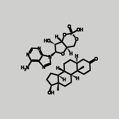 C[C@]12CCC(=O)C[C@@H]1CC[C@@H]1[C@@H]2CC[C@]2(C)[C@@H](O)CC[C@@H]12.Nc1ncnc2c1ncn2[C@@H]1O[C@@H]2COP(=O)(O)O[C@H]2[C@H]1O